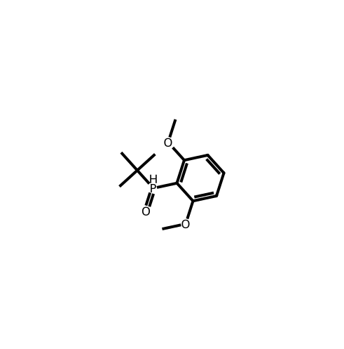 COc1cccc(OC)c1[PH](=O)C(C)(C)C